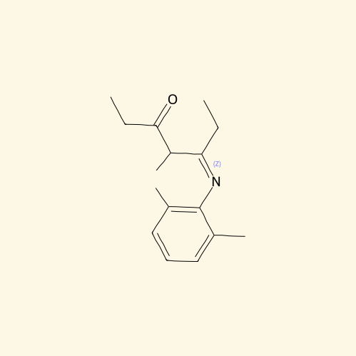 CCC(=O)C(C)/C(CC)=N\c1c(C)cccc1C